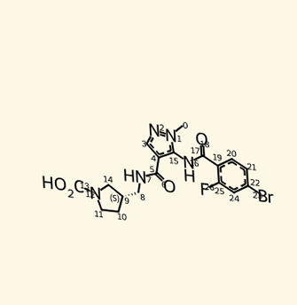 Cn1ncc(C(=O)NC[C@@H]2CCN(C(=O)O)C2)c1NC(=O)c1ccc(Br)cc1F